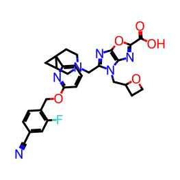 N#Cc1ccc(COc2cccc(C34CCN(Cc5nc6oc(C(=O)O)nc6n5CC5CCO5)CC3C4)n2)c(F)c1